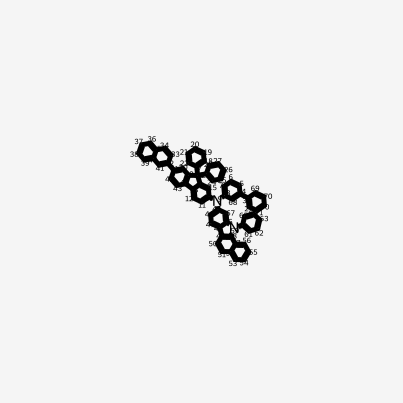 c1ccc(-c2cccc(N(c3ccc4c(c3)C(c3ccccc3)(c3ccccc3)c3cc(-c5ccc6ccccc6c5)ccc3-4)c3ccc4c5ccc6ccccc6c5n(-c5ccccc5)c4c3)c2)cc1